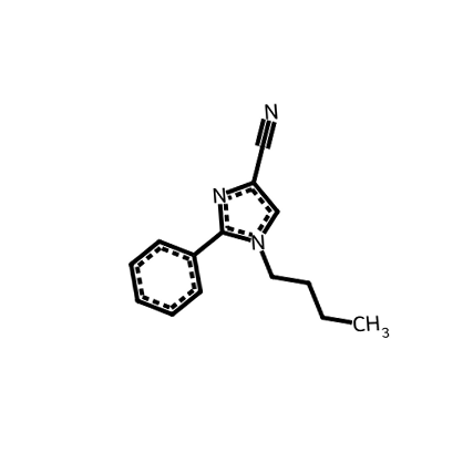 CCCCn1cc(C#N)nc1-c1ccccc1